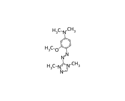 COc1cc(N(C)C)ccc1N=Nc1n(C)cn[n+]1C